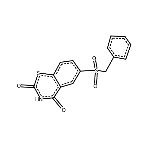 O=c1[nH]c(=O)c2cc(S(=O)(=O)Cc3ccccc3)ccc2s1